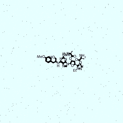 CCn1nnnc1[C@H]1O[C@@H](n2cnc3c(NC(CO)Cc4ccc(OC)cc4)nc(NC)nc32)[C@H](OC(=O)[C@H](C)N)[C@@H]1OC(=O)[C@H](C)N